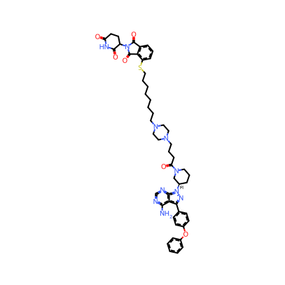 Nc1ncnc2c1c(-c1ccc(Oc3ccccc3)cc1)nn2[C@@H]1CCCN(C(=O)CCCN2CCN(CCCCCCCCSc3cccc4c3C(=O)N(C3CCC(=O)NC3=O)C4=O)CC2)C1